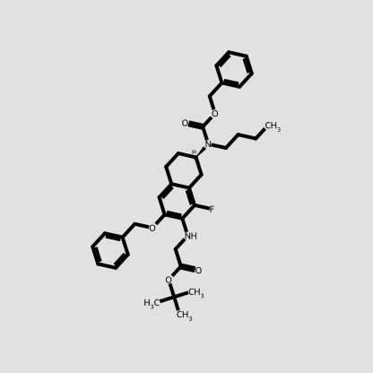 CCCCN(C(=O)OCc1ccccc1)[C@@H]1CCc2cc(OCc3ccccc3)c(NCC(=O)OC(C)(C)C)c(F)c2C1